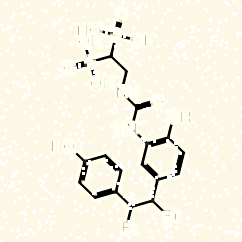 CCC(c1ccc(O)cc1)C(CC)c1ccc(O)c(NC(=O)NCC(P(=O)(O)O)P(=O)(O)O)c1